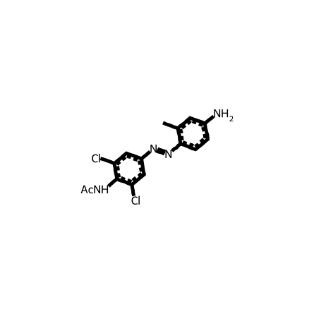 CC(=O)Nc1c(Cl)cc(N=Nc2ccc(N)cc2C)cc1Cl